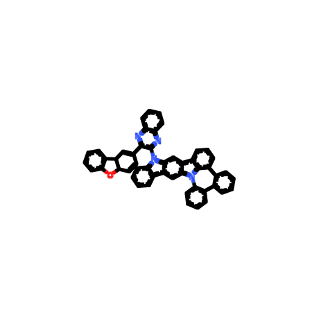 C1=CC2Oc3ccccc3C2C=C1c1nc2ccccc2nc1-n1c2ccccc2c2cc3c(cc21)c1cccc2c1n3-c1ccccc1-c1ccccc1-2